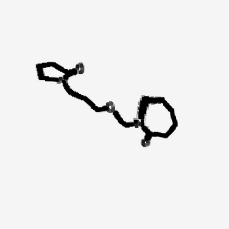 O=C1CCCN1CCCOCN1CCCCCC1=O